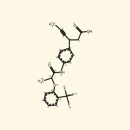 CC#CC(CC(=O)O)c1ccc(NC(=O)C(C)Oc2ccccc2C(F)(F)F)cc1